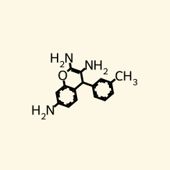 Cc1cccc(C2C(N)=C(N)Oc3cc(N)ccc32)c1